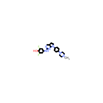 CN1CCN(c2ccc(-n3ccc4cnc(Nc5cc(F)c(O)c(F)c5)nc43)cc2)CC1